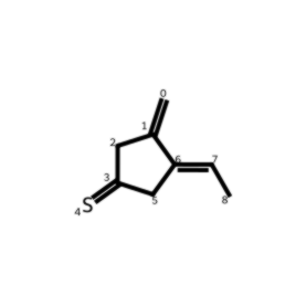 C=C1CC(=S)C/C1=C\C